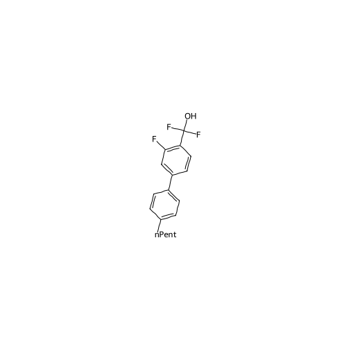 CCCCCc1ccc(-c2ccc(C(O)(F)F)c(F)c2)cc1